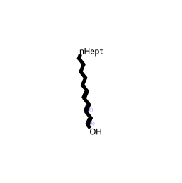 CCCCCCCCCCCCC=C/C=C/C=C/O